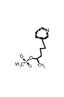 CC(CCCc1cccnc1)OS(C)(=O)=O